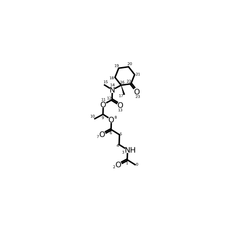 CC(=O)NCCC(=O)OC(C)OC(=O)N(C)[C@]1(C)CCCCC1=O